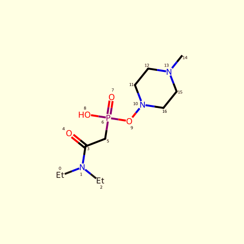 CCN(CC)C(=O)CP(=O)(O)ON1CCN(C)CC1